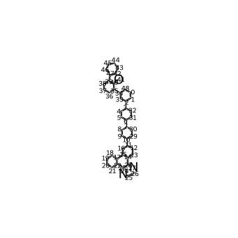 c1cc(-c2ccc(-c3ccc(-c4ccc5c(c4)c4ccccc4c4nccnc54)cc3)cc2)cc(-c2cccc3c2oc2ccccc23)c1